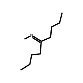 CCCCC(CCCC)=NI